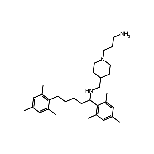 Cc1cc(C)c(CCCCC(NCC2CCN(CCCN)CC2)c2c(C)cc(C)cc2C)c(C)c1